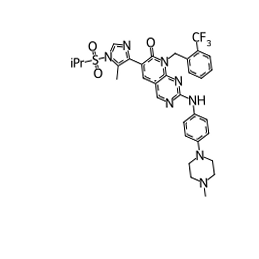 Cc1c(-c2cc3cnc(Nc4ccc(N5CCN(C)CC5)cc4)nc3n(Cc3ccccc3C(F)(F)F)c2=O)ncn1S(=O)(=O)C(C)C